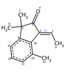 C/C=C1/C(=O)C(C)(C)c2cccc(C)c21